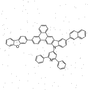 c1ccc(-c2cc(-n3c4ccc(-c5ccc6ccccc6c5)cc4c4cc5c6ccccc6c6cc(-c7ccc8c(c7)oc7ccccc78)ccc6c5cc43)cc(-c3ccccc3)n2)cc1